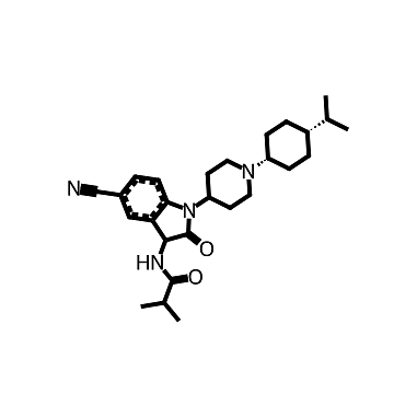 CC(C)C(=O)NC1C(=O)N(C2CCN([C@H]3CC[C@@H](C(C)C)CC3)CC2)c2ccc(C#N)cc21